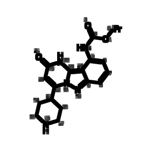 CC(C)OC(=O)Nc1cccc2nn3c(C4CCNCC4)cc(=O)[nH]c3c12